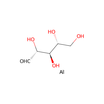 O=C[C@H](O)[C@H](O)[C@H](O)CO.[Al]